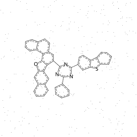 c1ccc(-c2nc(-c3ccc4c(c3)sc3ccccc34)nc(-c3cc4ccc5ccccc5c4c4oc5cc6ccccc6cc5c34)n2)cc1